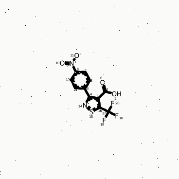 O=C(O)c1c(-c2ccc([N+](=O)[O-])cc2)nsc1C(F)(F)F